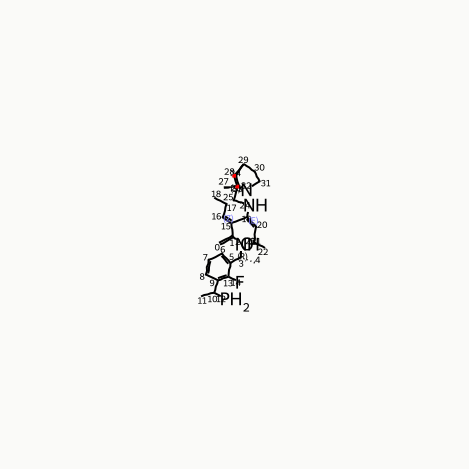 C=C(N[C@H](C)c1cccc(C(C)P)c1F)C(=C/CC)/C(=C\C(C)=O)NC[C@]1(C)CC2CCN1CC2